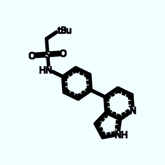 CC(C)(C)CS(=O)(=O)Nc1ccc(-c2ccnc3[nH]ccc23)cc1